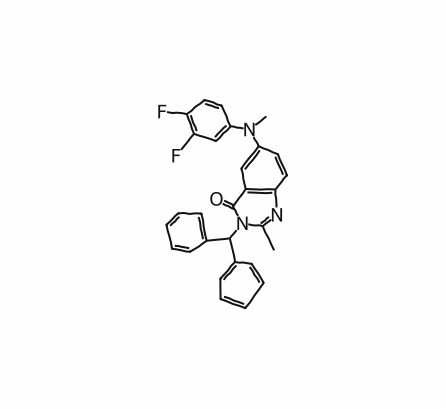 Cc1nc2ccc(N(C)c3ccc(F)c(F)c3)cc2c(=O)n1C(c1ccccc1)c1ccccc1